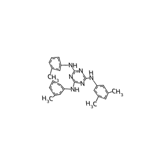 Cc1cccc(Nc2nc(Nc3cccc(C)c3)nc(Nc3cc(C)cc(C)c3)n2)c1